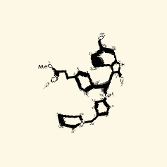 COC(=O)CCc1ccc(/C(Nc2ccc(CN3CCCC3)cc2)=C2/C(=O)Nc3cc(Cl)ccc32)cc1